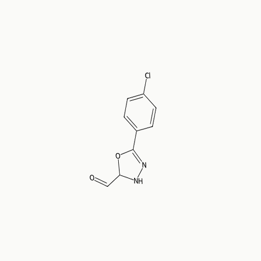 O=CC1NN=C(c2ccc(Cl)cc2)O1